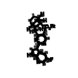 CCOC(=O)[C@H]1[C@H]2CC[C@H](CC2)[C@@H]1Nc1nc(-c2c[nH]c3ncc(F)cc23)ncc1F